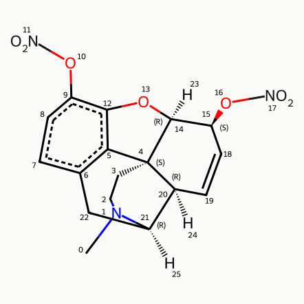 CN1CC[C@]23c4c5ccc(O[N+](=O)[O-])c4O[C@H]2[C@@H](O[N+](=O)[O-])C=C[C@H]3[C@H]1C5